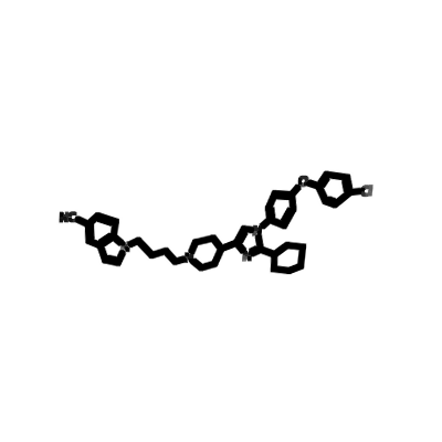 N#Cc1ccc2c(ccn2CCCCN2CCC(c3cn(-c4ccc(Oc5ccc(Cl)cc5)cc4)c(C4CCCCC4)n3)CC2)c1